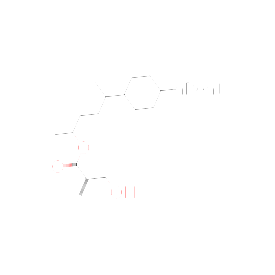 C=C(CO)C(=O)OC(C)CCC(C)C1CCC(CCCCC)CC1